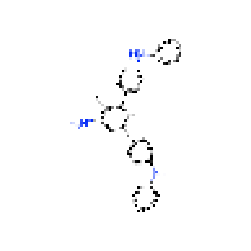 Cc1c(-c2ccc(Nc3ccccc3)cc2)[c]c(-c2ccc(Nc3ccccc3)cc2)cc1N